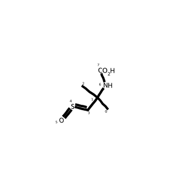 CC(C)(C=S=O)NC(=O)O